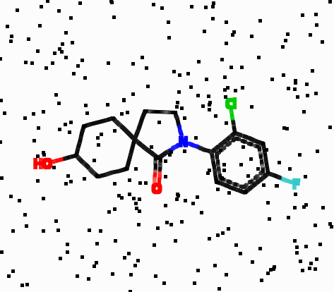 O=C1N(c2ccc(F)cc2Cl)CCC12CCC(O)CC2